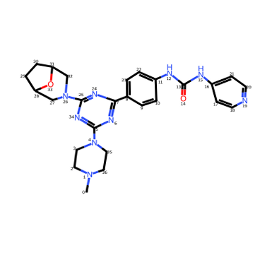 CN1CCN(c2nc(-c3ccc(NC(=O)Nc4ccncc4)cc3)nc(N3CC4CCC(C3)O4)n2)CC1